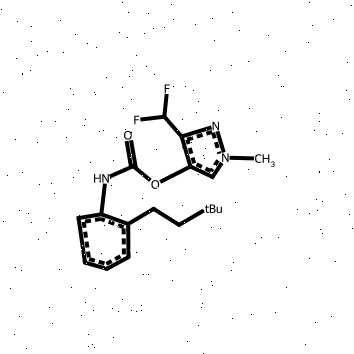 Cn1cc(OC(=O)Nc2ccccc2CCC(C)(C)C)c(C(F)F)n1